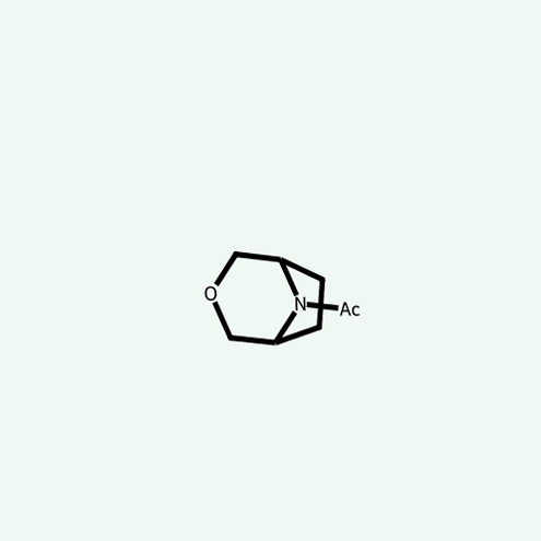 CC(=O)N1C2CCC1COC2